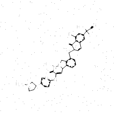 CN1CC[C@H](c2ccc(NC3=CC4c5cccc(CC6C=Cc7cc(C(C)(C)C#N)cc(F)c7C6=O)c5CP4N(C)C3=O)nc2)C1